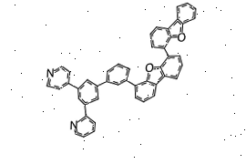 c1ccc(-c2cc(-c3ccncc3)cc(-c3cccc(-c4cccc5c4oc4c(-c6cccc7c6oc6ccccc67)cccc45)c3)c2)nc1